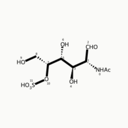 CC(=O)N[C@@H](C=O)[C@@H](O)[C@@H](O)[C@@H](CO)OS(=O)(=O)O